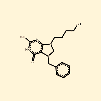 Nc1nc2c(c(=O)[nH]1)N(Cc1ccccc1)CN2CCCCO